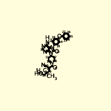 CC(C)(C=C(C#N)C(=O)N1CCC(n2c(=O)n(-c3ccc(Oc4ccccc4)cc3)c3c(N)ncnc32)CC1)CO